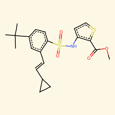 COC(=O)c1sccc1NS(=O)(=O)c1ccc(C(C)(C)C)cc1C=CC1CC1